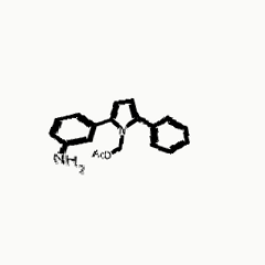 CC(=O)OCn1c(-c2ccccc2)ccc1-c1cccc(N)c1